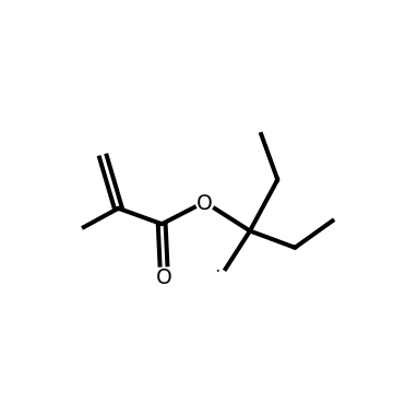 [CH2]C(CC)(CC)OC(=O)C(=C)C